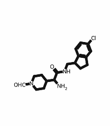 NC(C(=O)NCC1CCc2cc(Cl)ccc21)C1CCN(C=O)CC1